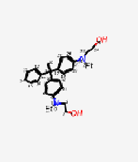 CCN(CCO)c1ccc(C(C)(c2ccccc2)c2ccc(N(CC)CCO)cc2)cc1